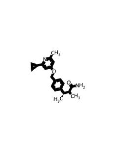 Cc1cc(OCc2ccc([C@@H](C)C(C)C(N)=O)cc2)cc(C2CC2)n1